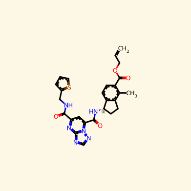 C=CCOC(=O)c1ccc2c(c1C)CC[C@@H]2NC(=O)c1cc(C(=O)NCc2cccs2)nc2ncnn12